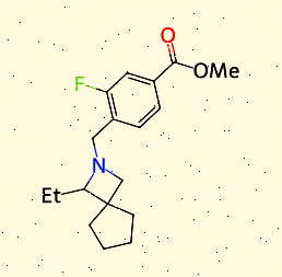 CCC1N(Cc2ccc(C(=O)OC)cc2F)CC12CCCC2